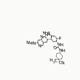 CNc1cc2nc(C)c(-c3cc(NC(=O)NC4CCC(C)(C#N)CC4)c(F)cc3C)cc2cn1